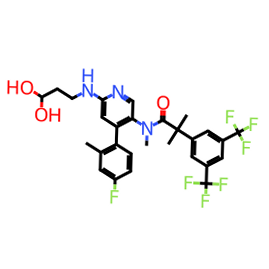 Cc1cc(F)ccc1-c1cc(NCCC(O)O)ncc1N(C)C(=O)C(C)(C)c1cc(C(F)(F)F)cc(C(F)(F)F)c1